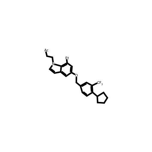 CCc1cc(OCc2ccc(C3CCCC3)c(C(F)(F)F)c2)cc2ccn(CCC(C)=O)c12